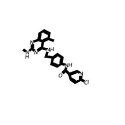 CNc1nc(NCc2ccc(NC(=O)c3ccc(Cl)nc3)cc2)c2c(C)cccc2n1